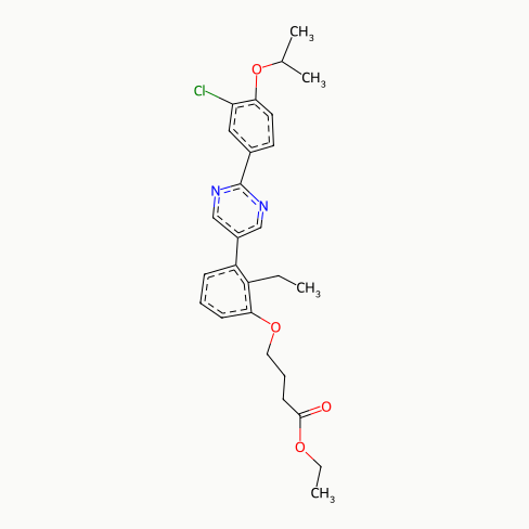 CCOC(=O)CCCOc1cccc(-c2cnc(-c3ccc(OC(C)C)c(Cl)c3)nc2)c1CC